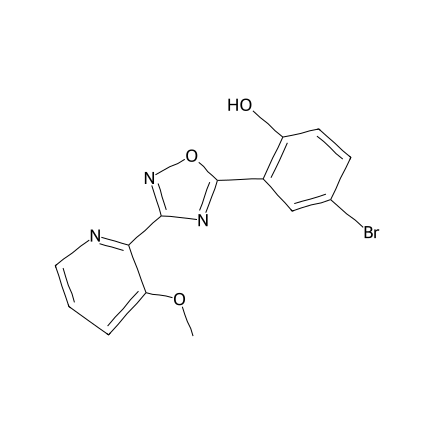 COc1cccnc1-c1noc(-c2cc(Br)ccc2O)n1